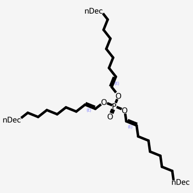 CCCCCCCCCCCCCCCC/C=C/OP(=O)(O/C=C/CCCCCCCCCCCCCCCC)O/C=C/CCCCCCCCCCCCCCCC